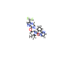 C[C@@H]1CC[C@@H](Oc2nccn3c(C(F)F)cnc23)CN1C(=O)c1ccccc1-c1ncccn1